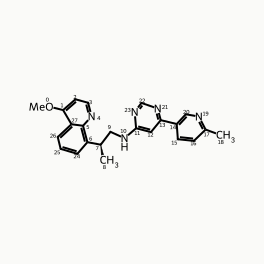 COc1ccnc2c([C@H](C)CNc3cc(-c4ccc(C)nc4)ncn3)cccc12